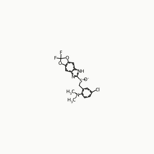 CN(C)c1ccc(Cl)cc1C[S+]([O-])c1nc2cc3c(cc2[nH]1)OC(F)(F)O3